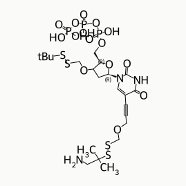 CC(C)(C)SSCOC1C[C@H](n2cc(C#CCOCSSC(C)(C)CN)c(=O)[nH]c2=O)O[C@@H]1COP(=O)(O)OP(=O)(O)OP(=O)(O)O